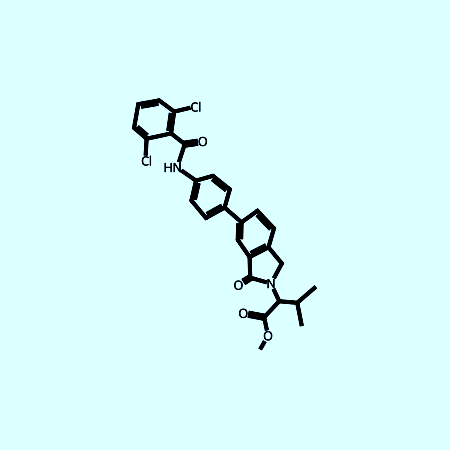 COC(=O)C(C(C)C)N1Cc2ccc(-c3ccc(NC(=O)c4c(Cl)cccc4Cl)cc3)cc2C1=O